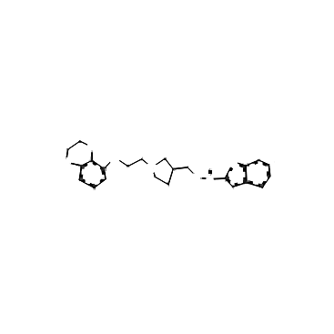 O=S(=O)(NCC1CCN(CCOc2cccc3c2OCCO3)C1)c1cc2ccccc2s1